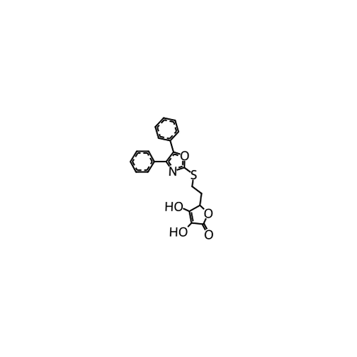 O=C1OC(CCSc2nc(-c3ccccc3)c(-c3ccccc3)o2)C(O)=C1O